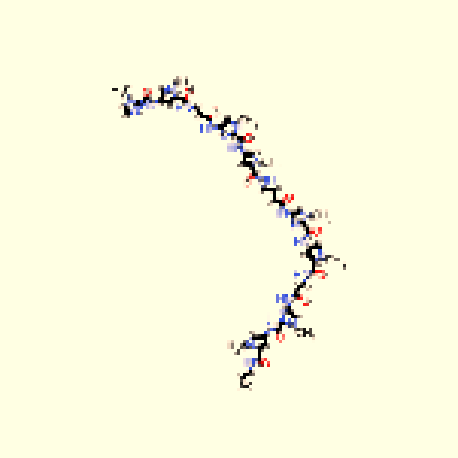 CC(=O)CCNC(=O)c1cc(NC(=O)c2nc(NC(=O)CCNC(=O)c3cc(NC(=O)c4nc(NC(=O)CCCNC(=O)c5cc(NC(=O)c6nc(NC(=O)CCNC(=O)c7cc(NC(=O)c8nccn8C)cn7C)cn6C)cn5C)cn4C)cn3C)cn2C)cn1C